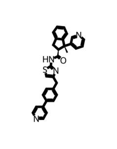 C[C@]1(c2cccnc2)c2ccccc2C[C@@H]1C(=O)Nc1nc(Cc2ccc(-c3ccncc3)cc2)cs1